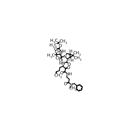 C=CCCC(NC(=O)[C@@H]1[C@@H]2[C@H](CN1C(=O)[C@@H](NC(=O)OC(C)(C)C)C(C)(C)C)C2(C)C)C(=O)C(=O)NCCC(=O)N(C)Cc1ccccc1